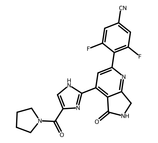 N#Cc1cc(F)c(-c2cc(-c3nc(C(=O)N4CCCC4)c[nH]3)c3c(n2)CNC3=O)c(F)c1